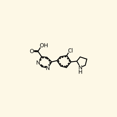 O=C(O)c1cc(-c2ccc(C3CCCN3)c(Cl)c2)ncn1